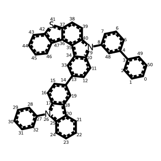 c1ccc(-c2cccc(-n3c4ccc(-c5ccc6c(c5)c5ccccc5n6-c5ccccc5)cc4c4c5c(ccc43)sc3ccccc35)c2)cc1